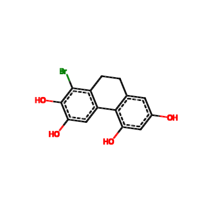 Oc1cc(O)c2c(c1)CCc1c-2cc(O)c(O)c1Br